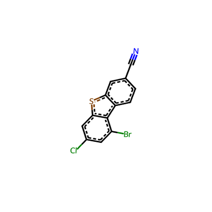 N#Cc1ccc2c(c1)sc1cc(Cl)cc(Br)c12